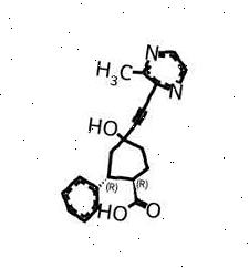 Cc1nccnc1C#CC1(O)CC[C@@H](C(=O)O)[C@H](c2ccccc2)C1